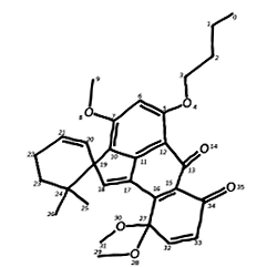 CCCCOc1cc(OC)c2c3c1C(=O)C1=C(C3=CC23C=CCCC3(C)C)C(OC)(OC)C=CC1=O